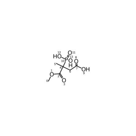 COC(=O)C(C)(CC(=O)O)P(=O)(O)O